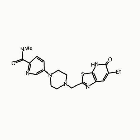 CCc1cc2nc(CN3CCN(c4ccc(C(=O)NC)nc4)CC3)sc2[nH]c1=O